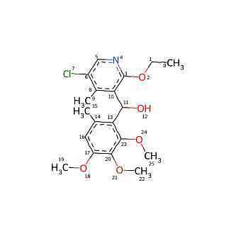 CCOc1ncc(Cl)c(C)c1C(O)c1c(C)cc(OC)c(OC)c1OC